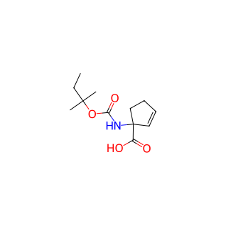 CCC(C)(C)OC(=O)NC1(C(=O)O)C=CCC1